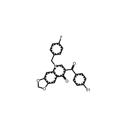 CCc1ccc(C(=O)c2cn(Cc3ccc(F)cc3)c3cc4c(cc3c2=O)OCO4)cc1